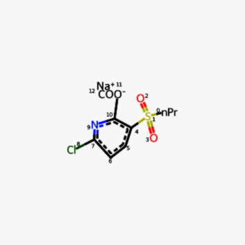 CCCS(=O)(=O)c1ccc(Cl)nc1C(=O)[O-].[Na+]